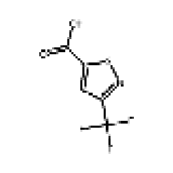 O=C(O)c1cc(C(F)(F)F)ns1